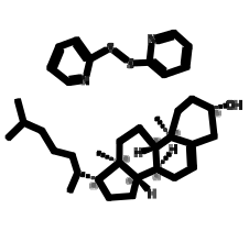 CC(C)CCCC(C)[C@H]1CC[C@H]2[C@@H]3CC=C4C[C@@H](O)CC[C@]4(C)[C@H]3CC[C@]12C.c1ccc(SSc2ccccn2)nc1